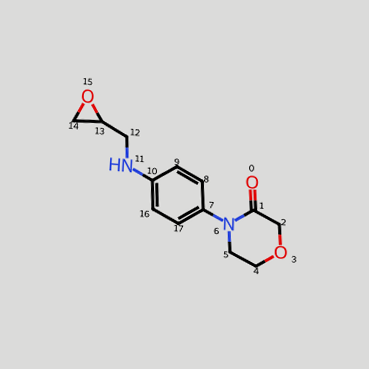 O=C1COCCN1c1ccc(NCC2CO2)cc1